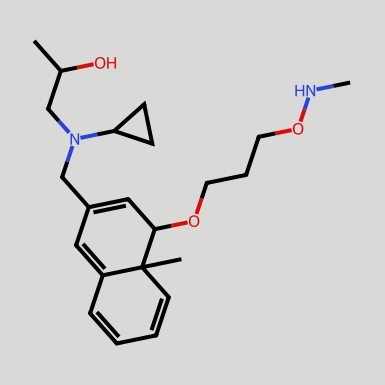 CNOCCCOC1C=C(CN(CC(C)O)C2CC2)C=C2C=CC=CC21C